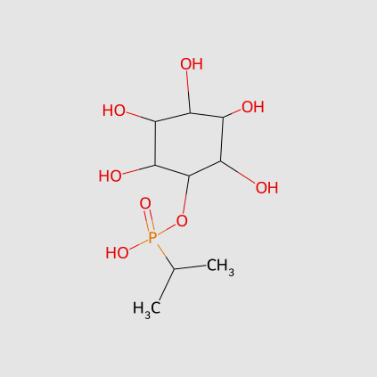 CC(C)P(=O)(O)OC1C(O)C(O)C(O)C(O)C1O